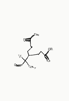 CC(C)(P=O)C(CCC(=O)O)CCC(=O)O